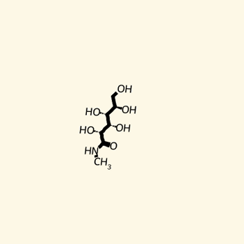 CNC(=O)[C@H](O)[C@@H](O)[C@H](O)[C@H](O)CO